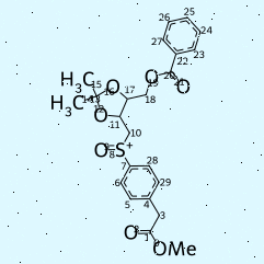 COC(=O)Cc1ccc([S+]([O-])CC2OC(C)(C)OC2COC(=O)c2ccccc2)cc1